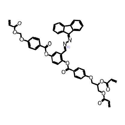 C=CC(=O)OCOc1ccc(C(=O)Oc2ccc(OC(=O)c3ccc(OCC(COC(=O)C=C)OC(=O)C=C)cc3)c(/C=N/N=C3c4ccccc4-c4ccccc43)c2)cc1